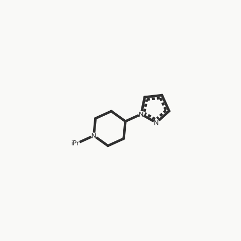 CC(C)N1CCC(n2cccn2)CC1